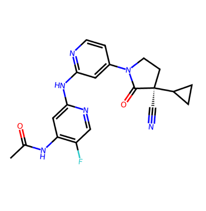 CC(=O)Nc1cc(Nc2cc(N3CC[C@@](C#N)(C4CC4)C3=O)ccn2)ncc1F